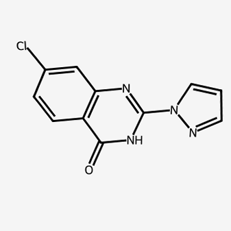 O=c1[nH]c(-n2cccn2)nc2cc(Cl)ccc12